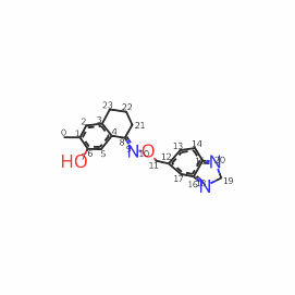 Cc1cc2c(cc1O)/C(=N/OCc1ccc3c(c1)=NCN=3)CCC2